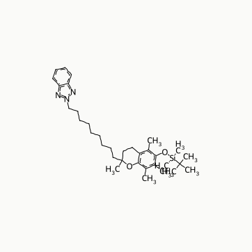 Cc1c(C)c2c(c(C)c1O[Si](C)(C)C(C)(C)C)CCC(C)(CCCCCCCCCn1nc3ccccc3n1)O2